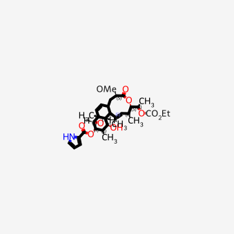 CCOC(=O)O[C@H](C)[C@H]1OC(=O)[C@@H](OC)CC2C=C[C@]3(C)[C@H]4[C@H](O)[C@@H](C)[C@@H](OC(=O)c5ccc[nH]5)[C@@H]3O[C@@]24/C(C)=C/[C@H]1C